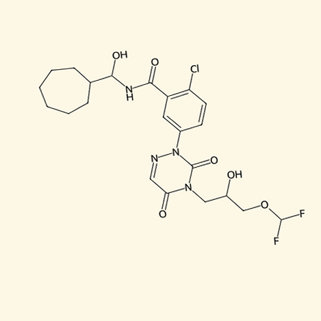 O=C(NC(O)C1CCCCCC1)c1cc(-n2ncc(=O)n(CC(O)COC(F)F)c2=O)ccc1Cl